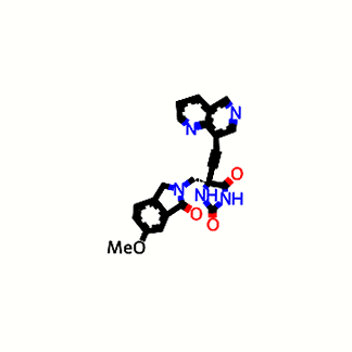 COc1ccc2c(c1)C(=O)N(C[C@@]1(C#Cc3cncc4cccnc34)NC(=O)NC1=O)C2